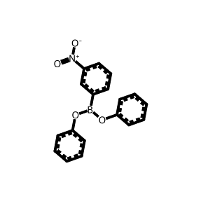 O=[N+]([O-])c1cccc(B(Oc2ccccc2)Oc2ccccc2)c1